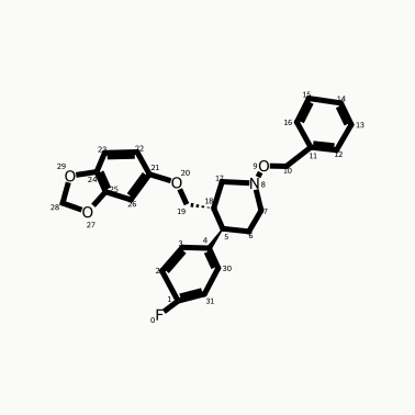 Fc1ccc([C@@H]2CCN(OCc3ccccc3)C[C@H]2COc2ccc3c(c2)OCO3)cc1